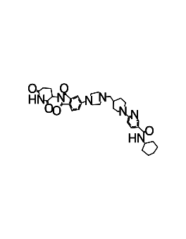 O=C1CCC(N2C(=O)c3ccc(N4CCN(CC5CCN(c6ccc(C(=O)NC7CCCCC7)cn6)CC5)CC4)cc3C2=O)C(=O)N1